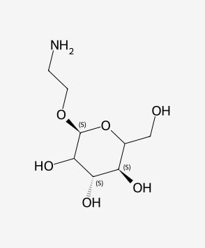 NCCO[C@H]1OC(CO)[C@@H](O)[C@H](O)C1O